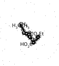 CCOC(=O)COc1cc2c(ccn2COCC[Si](C)(C)C)cc1C1=CCC(OCC2C(OCc3ccccc3)CC[C@H]2C(=O)O)CC1